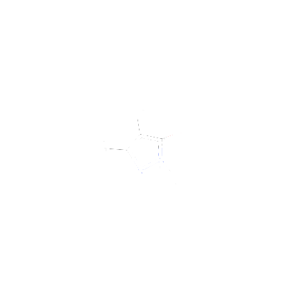 CCCCc1c(C(C)C)nn(C)c1O